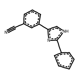 N#Cc1cccc(-c2c[nH]c(-c3ccccc3)n2)c1